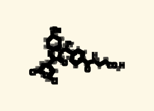 CC(C)[C@H](c1ccc(C(=O)NCCC(=O)O)cc1)N1C(=O)C(c2cc(Cl)cc(Cl)c2)=NC12CCC(C(C)(C)C)CC2